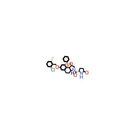 O=C1CC[C@@H](C(=O)N2CC[C@@]3(S(=O)(=O)c4ccccc4)c4ccc(OCc5c(F)cccc5Cl)cc4CC[C@@H]23)N1